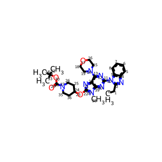 CCc1nc2ccccc2n1-c1nc(N2CCOCC2)c2nc(OC3CCN(C(=O)OC(C)(C)C)CC3)n(C)c2n1